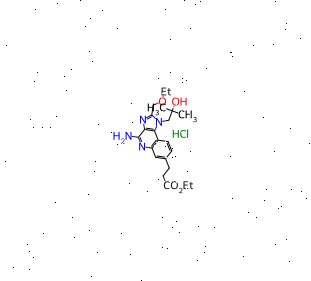 CCOCc1nc2c(N)nc3cc(CCC(=O)OCC)ccc3c2n1CC(C)(C)O.Cl